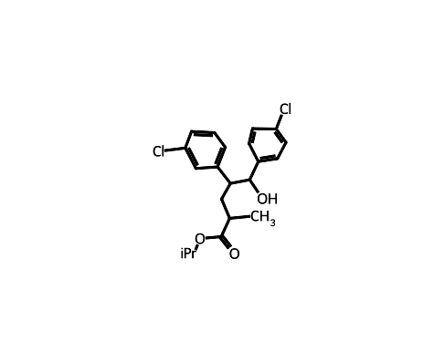 CC(C)OC(=O)C(C)CC(c1cccc(Cl)c1)C(O)c1ccc(Cl)cc1